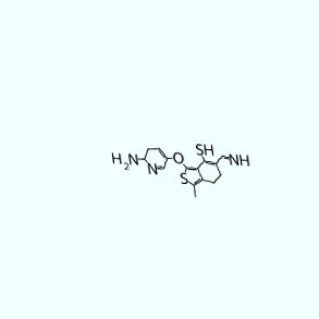 Cc1sc(OC2=CCC(N)N=C2)c2c1CCC(C=N)=C2S